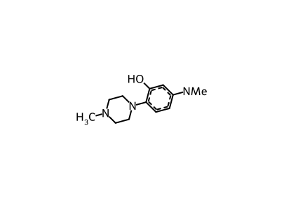 CNc1ccc(N2CCN(C)CC2)c(O)c1